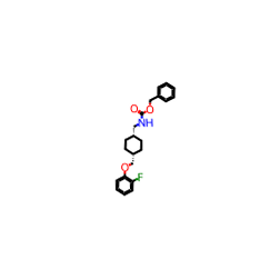 O=C(NC[C@H]1CC[C@@H](COc2ccccc2F)CC1)OCc1ccccc1